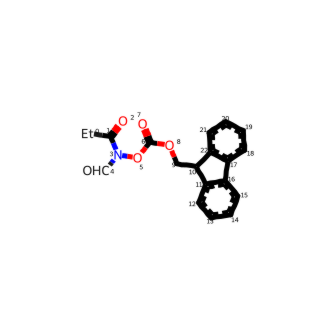 CCC(=O)N(C=O)OC(=O)OCC1c2ccccc2-c2ccccc21